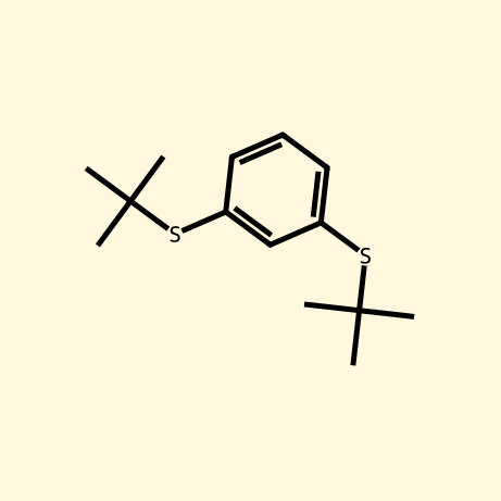 CC(C)(C)Sc1cccc(SC(C)(C)C)c1